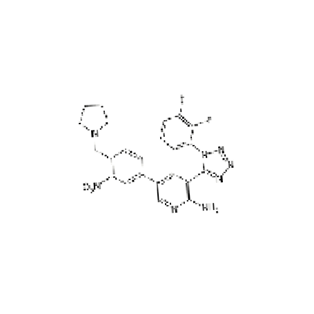 Nc1ncc(-c2ccc(CN3CCCC3)c([N+](=O)[O-])c2)cc1-c1nnnn1-c1cccc(F)c1F